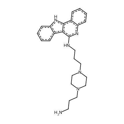 NCCCN1CCN(CCCNc2nc3ccccc3c3[nH]c4ccccc4c23)CC1